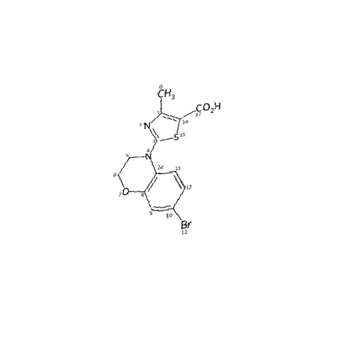 Cc1nc(N2CCOc3cc(Br)ccc32)sc1C(=O)O